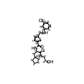 O=C(NC(CC1CCCC1)C(=O)NCCO)c1ccc(CNc2cncc(Cl)c2)s1